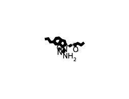 CCCc1ccc2c(c1)C1(N=C(N)N(C)O1)[C@@H](CC[C@H](CCC)OC)C2